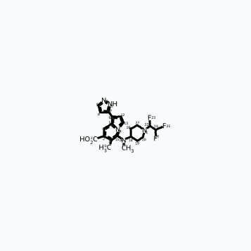 Cc1c(C(=O)O)cc2c(-c3ccn[nH]3)ccn2c1N(C)C1CCN(C(F)C(F)F)CC1